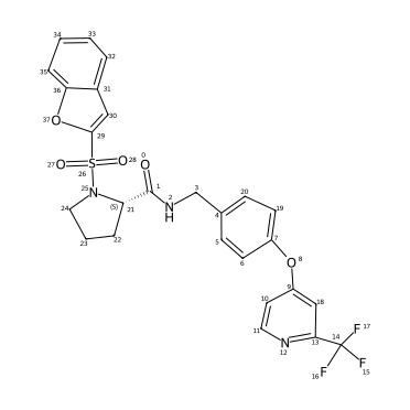 O=C(NCc1ccc(Oc2ccnc(C(F)(F)F)c2)cc1)[C@@H]1CCCN1S(=O)(=O)c1cc2ccccc2o1